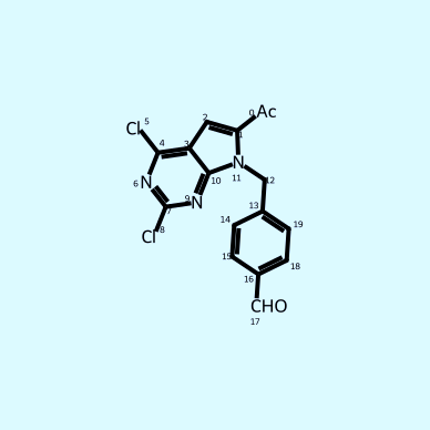 CC(=O)c1cc2c(Cl)nc(Cl)nc2n1Cc1ccc(C=O)cc1